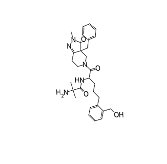 CN1N=C2CCN(C(=O)C(CCCc3ccccc3CO)NC(=O)C(C)(C)N)CC2(Cc2ccccc2)C1=O